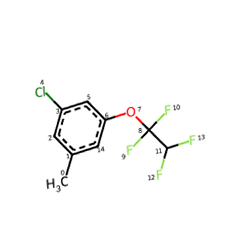 Cc1cc(Cl)cc(OC(F)(F)C(F)F)c1